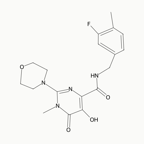 Cc1ccc(CNC(=O)c2nc(N3CCOCC3)n(C)c(=O)c2O)cc1F